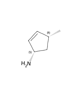 C[C@H]1C=C[C@@H](N)C1